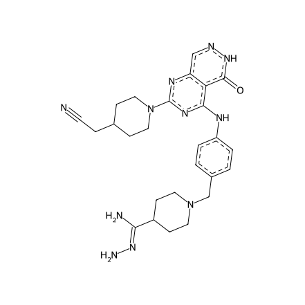 N#CCC1CCN(c2nc(Nc3ccc(CN4CCC(/C(N)=N/N)CC4)cc3)c3c(=O)[nH]ncc3n2)CC1